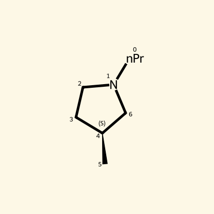 [CH2]CCN1CC[C@H](C)C1